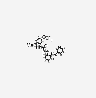 COc1ccc(OC(F)(F)F)cc1NC(=O)NCc1ccccc1OCc1cccnc1